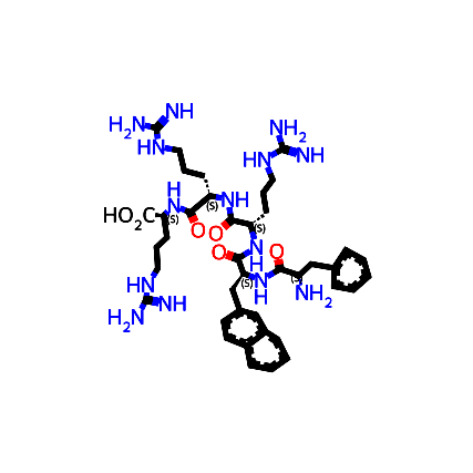 N=C(N)NCCC[C@H](NC(=O)[C@H](CCCNC(=N)N)NC(=O)[C@H](CCCNC(=N)N)NC(=O)[C@H](Cc1ccc2ccccc2c1)NC(=O)[C@@H](N)Cc1ccccc1)C(=O)O